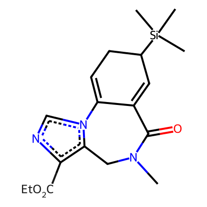 CCOC(=O)c1ncn2c1CN(C)C(=O)C1=CC([Si](C)(C)C)CC=C12